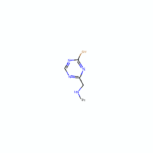 CC(C)NCc1ncnc(S)n1